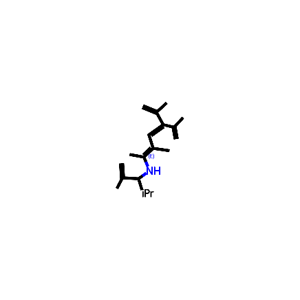 C=C(C)C(=C/C(C)=C(\C)NC(C(=C)C)C(C)C)C(=C)C